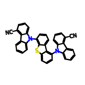 N#Cc1cccc2c1c1ccccc1n2-c1cccc2c1sc1cccc(-n3c4ccccc4c4c(C#N)cccc43)c12